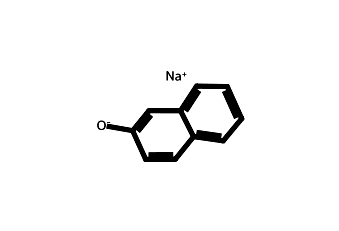 [Na+].[O-]c1ccc2ccccc2c1